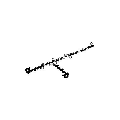 CC(=O)CCOCCOCCOCCOCCC(=O)NCCOCCOCCNC(=O)[C@H](CCCCNC(=O)/C=C(C)/C=C/C=C(C)/C=C/C1=C(C)CCCC1(C)C)NC(=O)/C=C(C)/C=C/C=C(C)/C=C/C1=C(C)CCCC1(C)C